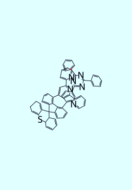 C1=CC2SC3=CCCC=C3C3(c4cccc(-c5ccc(-c6nc(-c7ccccc7)nc(-c7ccccc7)n6)cc5)c4-c4c(-c5cc(-c6ccccn6)nc(-c6ccccn6)c5)cccc43)C2C=C1